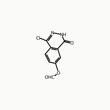 O=COc1ccc2c(Cl)n[nH]c(=O)c2c1